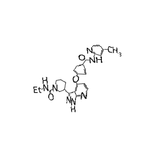 CCNC(=O)N1CCCC(c2n[nH]c3nccc(Oc4ccc(C(=O)Nc5cc(C)ccn5)cc4)c23)C1